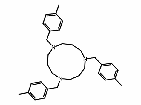 Cc1ccc(CN2CCCN(Cc3ccc(C)cc3)CCCN(Cc3ccc(C)cc3)CCC2)cc1